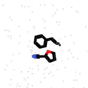 C=Cc1ccccc1.N#Cc1ccco1